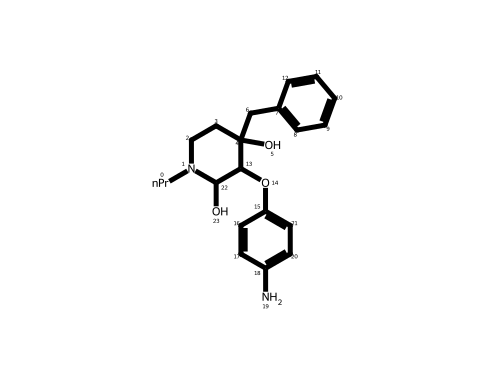 CCCN1CCC(O)(Cc2ccccc2)C(Oc2ccc(N)cc2)C1O